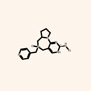 CCN[C@@H]1N=C2C(=CN1)C[N+]([O-])(Cc1ccncc1)CC1CCCN21